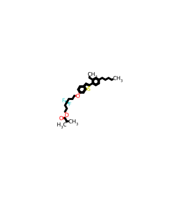 CCCCCc1ccc(-c2cc3ccc(OCCCC(F)(F)CCCOC(=O)C(C)C)cc3s2)c(CC)c1